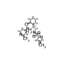 Cn1cnc(S(=O)(=O)N2CC(Nc3ccnc(C(F)(F)F)c3)C(c3ccccc3Cl)C2)c1